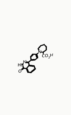 O=C(O)C1CCCCCN1c1ccc(-c2n[nH]c(=O)c3ccccc23)cc1